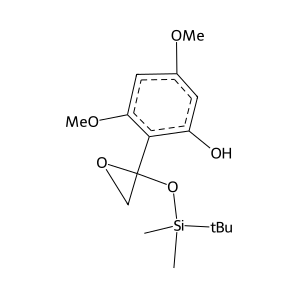 COc1cc(O)c(C2(O[Si](C)(C)C(C)(C)C)CO2)c(OC)c1